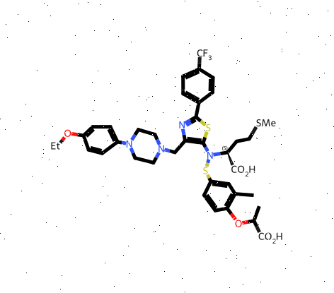 CCOc1ccc(N2CCN(Cc3nc(-c4ccc(C(F)(F)F)cc4)sc3N(Sc3ccc(OC(C)C(=O)O)c(C)c3)[C@@H](CCSC)C(=O)O)CC2)cc1